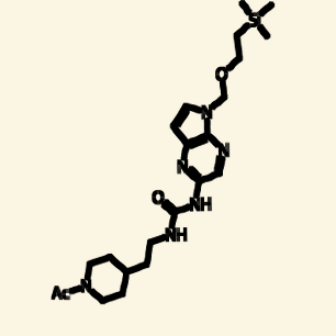 CC(=O)N1CCC(CCNC(=O)Nc2cnc3c(ccn3COCC[Si](C)(C)C)n2)CC1